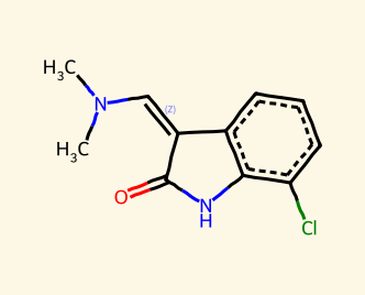 CN(C)/C=C1\C(=O)Nc2c(Cl)cccc21